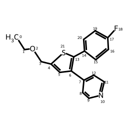 CCOCc1cc(-c2ccncc2)c(-c2ccc(F)cc2)s1